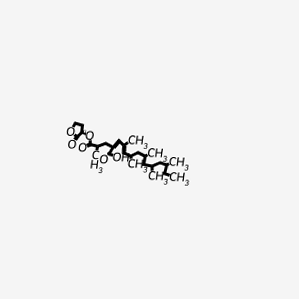 CCC(C)CC(C)CC(C)CC(C)C=C(C)C=C(CC(C)C(=O)O[C@@H]1CCOC1=O)C(=O)O